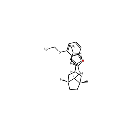 Cc1cc(N2C[C@H]3CC[C@@H](C2)[C@@H]3Nc2nc3cccc(OCC(F)(F)F)n3n2)sn1